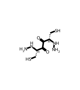 NN[C@@H](CS)C(=O)C(=O)[C@H](CS)NN